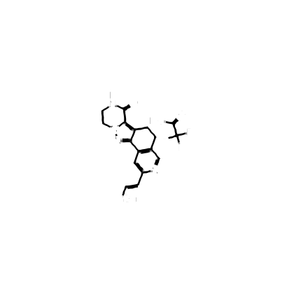 CCCCC=Cc1cc2c(cn1)CCc1c-2nn2c1C(=O)NCC2.O=C(O)C(F)(F)F